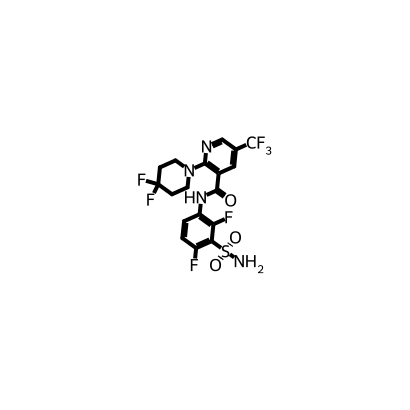 NS(=O)(=O)c1c(F)ccc(NC(=O)c2cc(C(F)(F)F)cnc2N2CCC(F)(F)CC2)c1F